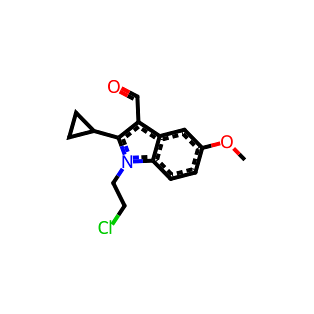 COc1ccc2c(c1)c(C=O)c(C1CC1)n2CCCl